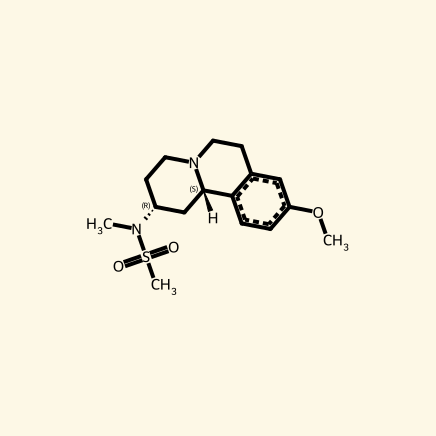 COc1ccc2c(c1)CCN1CC[C@@H](N(C)S(C)(=O)=O)C[C@@H]21